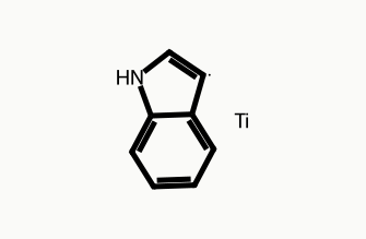 [Ti].[c]1c[nH]c2ccccc12